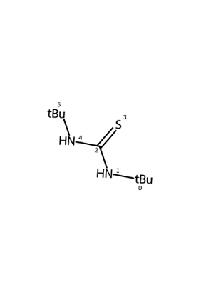 CC(C)(C)NC(=S)NC(C)(C)C